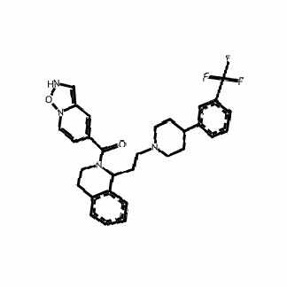 O=C(C1=CC2=CNON2C=C1)N1CCc2ccccc2C1CCN1CCC(c2cccc(C(F)(F)F)c2)CC1